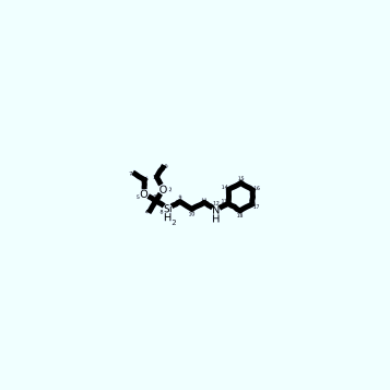 CCOC(C)(OCC)[SiH2]CCCNC1CCCCC1